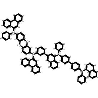 c1ccc(N(c2ccc(-c3ccc(N(c4ccccc4)c4cc(-c5cccc(N(c6ccc7c(c6)Oc6ccc(N(c8ccccc8)c8cc9ccccc9c9ccccc89)cc6O7)c6cc7ccccc7c7ccccc67)c5)cc5ccccc45)cc3)cc2)c2cccc3ccccc23)cc1